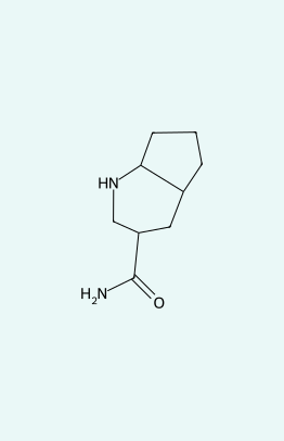 NC(=O)C1CNC2CCCC2C1